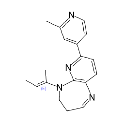 C/C=C(\C)N1CCC=Nc2ccc(-c3ccnc(C)c3)nc21